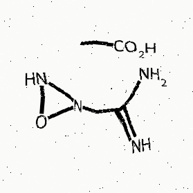 CC(=O)O.N=C(N)n1[nH]o1